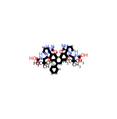 CC(C)(C)[C@H](NC(=O)O)C(=O)N1CCC[C@@]1(C(N)=O)c1ccc(CC(c2ccccc2)c2ccc([C@]3(C(N)=O)CCCN3C(=O)[C@@H](NC(=O)O)C(C)(C)C)cc2)cc1